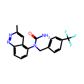 Cc1cc2c(N(Cc3ccc(C(F)(F)F)cc3)C(N)=O)cccc2nn1